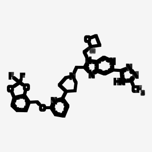 FC1(F)Oc2cccc(COc3cccc(C4CCN(Cc5nc6cc(-c7nnc(C(F)(F)F)[nH]7)ncc6n5C[C@@H]5CCO5)CC4)n3)c2O1